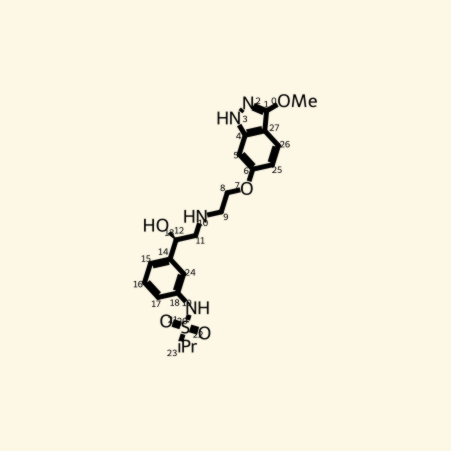 COc1n[nH]c2cc(OCCNC[C@H](O)c3cccc(NS(=O)(=O)C(C)C)c3)ccc12